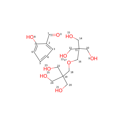 O=Cc1ccccc1O.OCC(CO)(CO)COCC(CO)(CO)CO